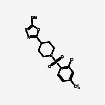 CC(C)(C)c1nnc(C2CCN(S(=O)(=O)c3ccc(C(F)(F)F)cc3Cl)CC2)o1